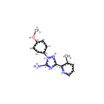 Cc1cccnc1-c1nc(N)n(-c2ccc(OC(F)(F)F)cc2)n1